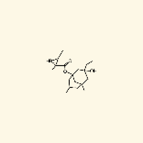 CCC1(O)CC2(C)CC(C)CC(OC(=O)C3(C)BC3C)(C2)C1